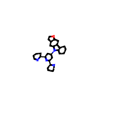 c1ccc(-c2cc(-n3c4ccccc4c4cc5occc5cc43)cc(-c3ccccn3)n2)nc1